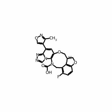 Cc1nocc1-c1cc2c(n3cnnc13)N(C(=O)O)Cc1c(F)ccc3c1[C@@H](CO3)CO2